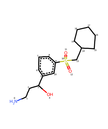 NCCC(O)c1cccc(S(=O)(=O)CC2CCCCC2)c1